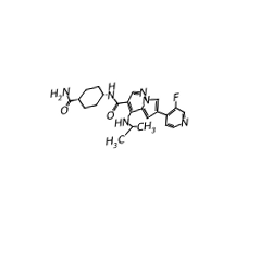 CC(C)Nc1c(C(=O)N[C@H]2CC[C@H](C(N)=O)CC2)cnn2cc(-c3ccncc3F)cc12